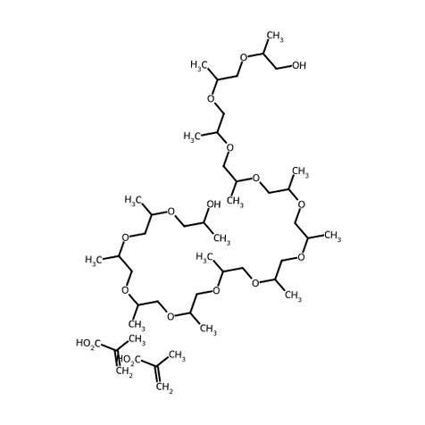 C=C(C)C(=O)O.C=C(C)C(=O)O.CC(O)COC(C)COC(C)COC(C)COC(C)COC(C)COC(C)COC(C)COC(C)COC(C)COC(C)COC(C)COC(C)CO